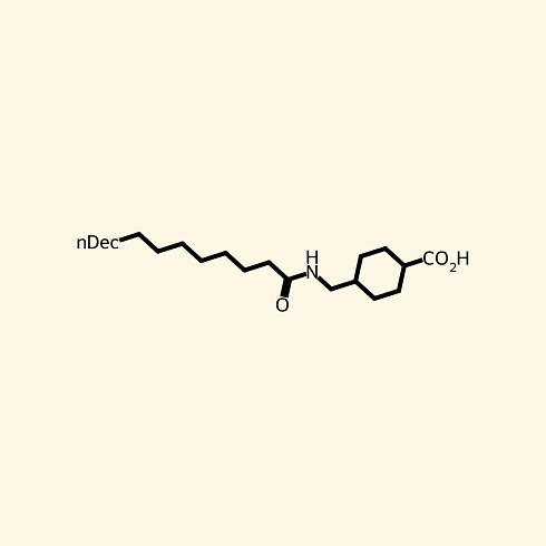 CCCCCCCCCCCCCCCCCC(=O)NCC1CCC(C(=O)O)CC1